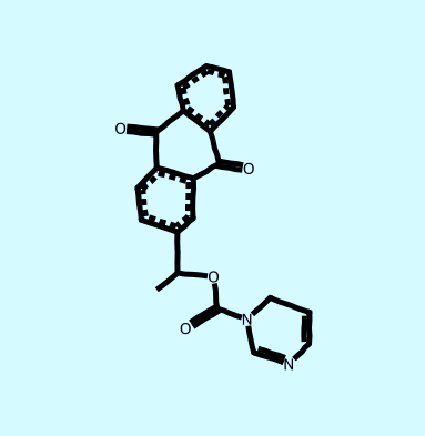 CC(OC(=O)N1C=NC=CC1)c1ccc2c(c1)C(=O)c1ccccc1C2=O